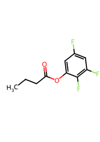 CCCC(=O)Oc1cc(F)cc(F)c1F